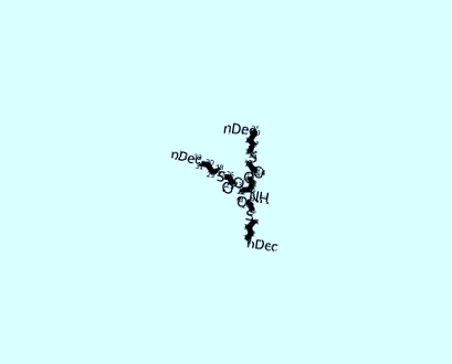 CCCCCCCCCCCCCCSCC(=O)NC(COC(=O)CSCCCCCCCCCCCCCC)COC(=O)CSCCCCCCCCCCCCCC